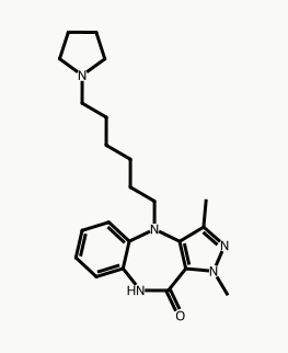 Cc1nn(C)c2c1N(CCCCCCN1CCCC1)c1ccccc1NC2=O